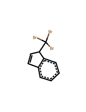 BrC(Br)(Br)C1[C]=Cc2ccccc21